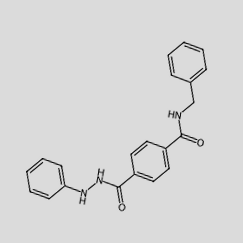 O=C(NCc1ccccc1)c1ccc(C(=O)NNc2ccccc2)cc1